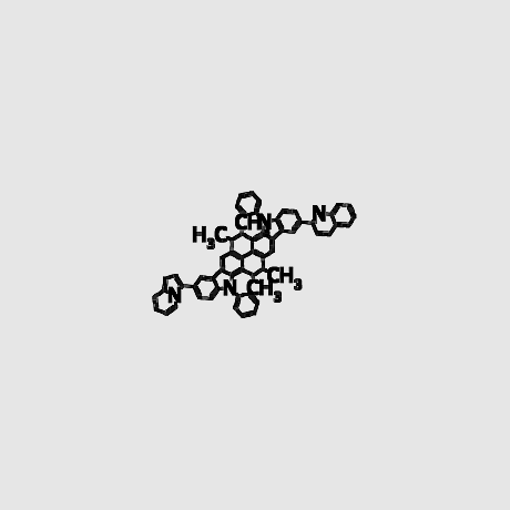 CC1c2cc3c4cc(-c5ccc6ccccn56)ccc4n(-c4ccccc4)c3c3c2-c2c(cc4c5cc(-c6ccc7ccccc7n6)ccc5n(-c5ccccc5)c4c2C1C)C(C)C3C